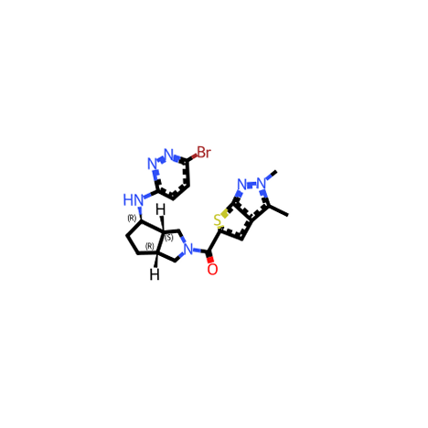 Cc1c2cc(C(=O)N3C[C@@H]4CC[C@@H](Nc5ccc(Br)nn5)[C@@H]4C3)sc2nn1C